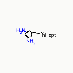 CCCCCCC[CH]CCc1cc(N)cc(N)c1